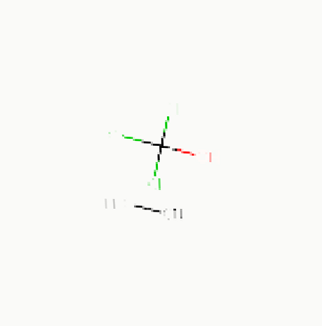 CC#N.OC(Cl)(Cl)Cl